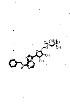 CN(Cc1ccccc1)c1nccn2c(C3O[C@H](COP(=O)(O)CP(=O)(O)O)[C@@H](O)[C@H]3O)cnc12